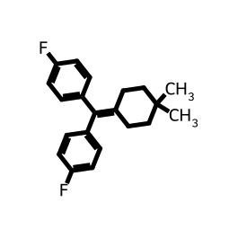 CC1(C)CCC(=C(c2ccc(F)cc2)c2ccc(F)cc2)CC1